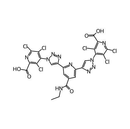 CCNC(=O)c1cc(-c2cn(-c3c(Cl)c(Cl)nc(C(=O)O)c3Cl)nn2)nc(-c2cn(-c3c(Cl)c(Cl)nc(C(=O)O)c3Cl)nn2)c1